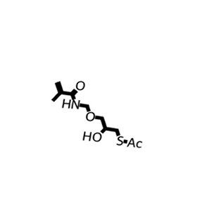 C=C(C)C(=O)NCOCC(O)CSC(C)=O